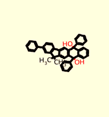 CC1(C)c2cc(-c3ccccc3)ccc2-c2cc3c(cc21)C(O)(c1ccccc1)c1ccccc1C3(O)c1ccccc1